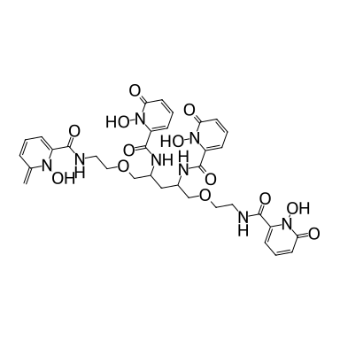 C=C1C=CC=C(C(=O)NCCOCC(CC(COCCNC(=O)c2cccc(=O)n2O)NC(=O)c2cccc(=O)n2O)NC(=O)c2cccc(=O)n2O)N1O